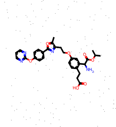 Cc1oc(-c2ccc(Oc3ncccn3)cc2)nc1CCOc1ccc(CCC(=O)O)c(C(N)C(=O)OC(C)C)c1